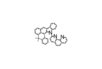 CC1(C)c2ccccc2-c2c3c1cccc3cc1c3ccccc3n(-c3ccc4ccc5cccnc5c4n3)c21